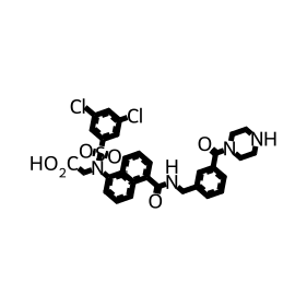 O=C(O)CN(c1cccc2c(C(=O)NCc3cccc(C(=O)N4CCNCC4)c3)cccc12)S(=O)(=O)c1cc(Cl)cc(Cl)c1